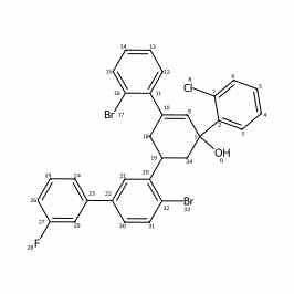 OC1(c2ccccc2Cl)C=C(c2ccccc2Br)CC(c2cc(-c3cccc(F)c3)ccc2Br)C1